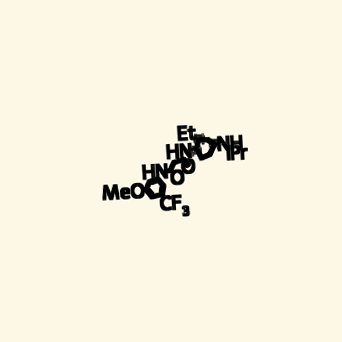 CC[C@@H]1C[C@H](NC(C)C)CC[C@@H]1NC(=O)CC(=O)Nc1cc(OC)cc(C(F)(F)F)c1